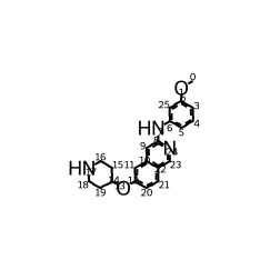 COc1cccc(Nc2cc3cc(OC4CCNCC4)ccc3cn2)c1